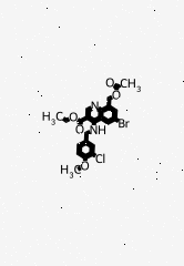 CCOC(=O)c1cnc2c(COC(C)=O)cc(Br)cc2c1NCc1ccc(OC)c(Cl)c1